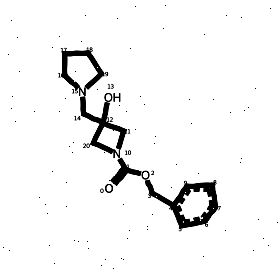 O=C(OCc1ccccc1)N1CC(O)(CN2CCCC2)C1